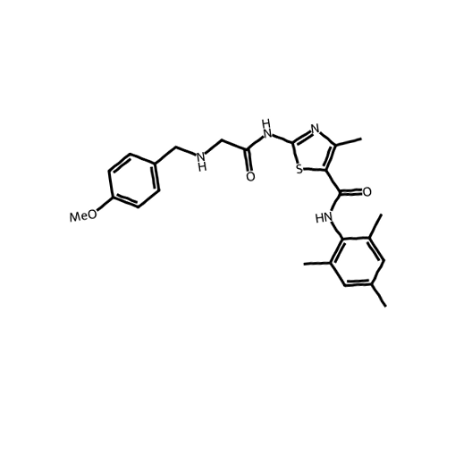 COc1ccc(CNCC(=O)Nc2nc(C)c(C(=O)Nc3c(C)cc(C)cc3C)s2)cc1